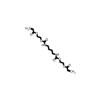 C=CC(=O)OCCOC(=O)NCCCCNC(=O)OCCOC(=O)C=C